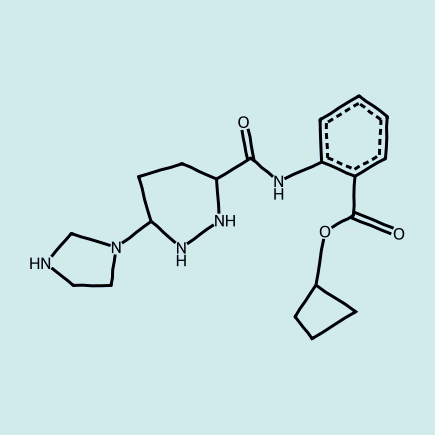 O=C(OC1CCC1)c1ccccc1NC(=O)C1CCC(N2CCNC2)NN1